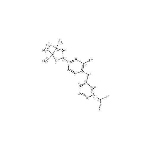 CC1(C)OB(c2ccc(Oc3nccc(C(F)F)n3)c(F)c2)OC1(C)C